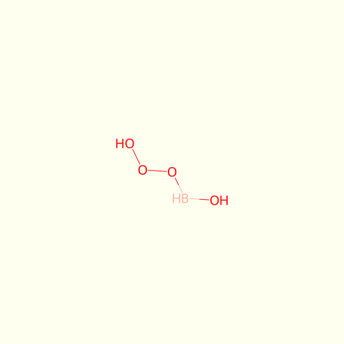 OBOOO